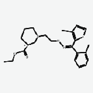 CCOC(=O)[C@H]1CCCN(CCON=C(c2ccccc2C)c2sccc2C)C1